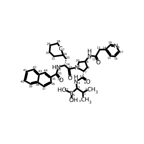 CC(C)C(NC(=O)[C@H]1CC(NC(=O)Cc2cccnc2)CN1C(=O)[C@@H](CC1CCCCC1)NC(=O)c1ccc2ccccc2c1)B(O)O